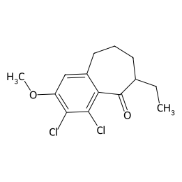 CCC1CCCc2cc(OC)c(Cl)c(Cl)c2C1=O